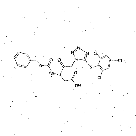 O=C(O)CC(NC(=O)OCc1ccccc1)C(=O)Cn1nnnc1Sc1c(Cl)cc(Cl)cc1Cl